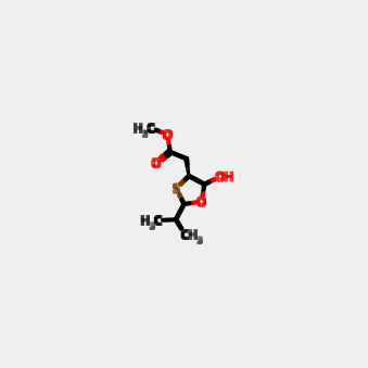 COC(=O)C[C@@H]1SC(C(C)C)OC1O